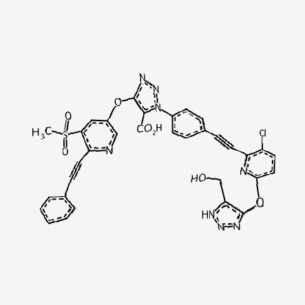 CS(=O)(=O)c1cc(Oc2nnn(-c3ccc(C#Cc4nc(Oc5nn[nH]c5CO)ccc4Cl)cc3)c2C(=O)O)cnc1C#Cc1ccccc1